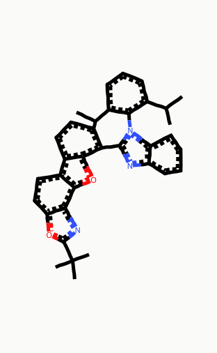 CC(C)c1cccc(C(C)C)c1-n1c(-c2cccc3c2oc2c3ccc3oc(C(C)(C)C)nc32)nc2ccccc21